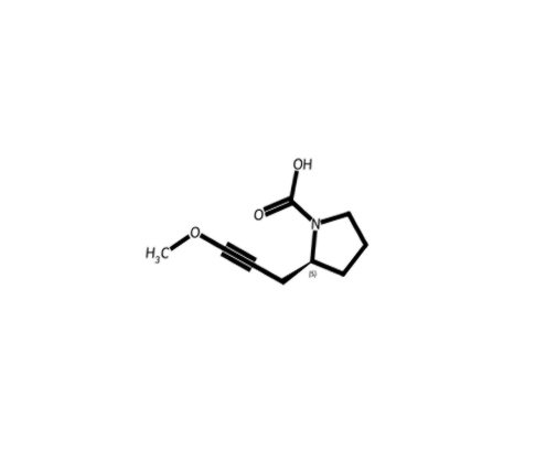 COC#CC[C@@H]1CCCN1C(=O)O